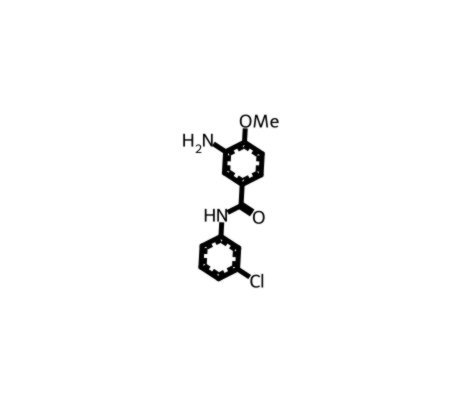 COc1ccc(C(=O)Nc2cccc(Cl)c2)cc1N